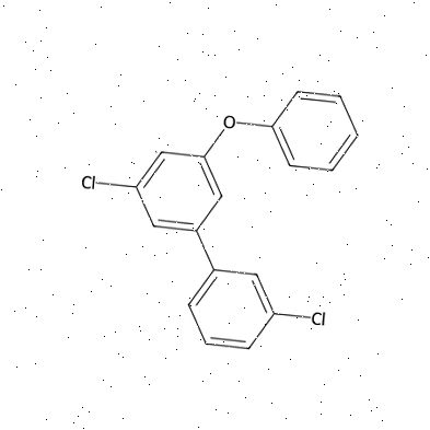 Clc1[c]c(Oc2ccccc2)cc(-c2cccc(Cl)c2)c1